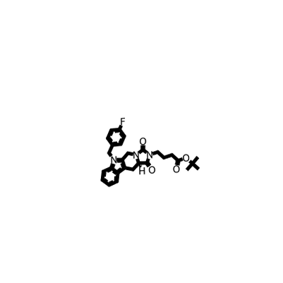 CC(C)(C)OC(=O)CCCN1C(=O)[C@@H]2Cc3c(n(Cc4ccc(F)cc4)c4ccccc34)CN2C1=O